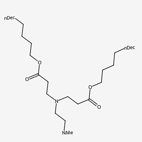 CCCCCCCCCCCCCCOC(=O)CCN(CCNC)CCC(=O)OCCCCCCCCCCCCCC